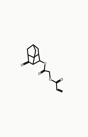 C=CC(=O)OCC(=O)OC1C2CC3CC(C2)C(=O)C1C3